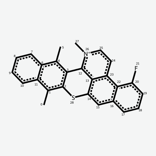 Cc1c2c(c(C)c3ccccc13)-c1c3c(cc4cccc(F)c4c3cc[n+]1C)S2